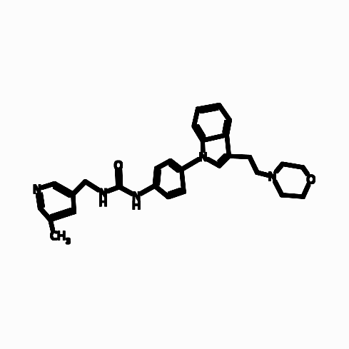 Cc1cncc(CNC(=O)Nc2ccc(-n3cc(CCN4CCOCC4)c4ccccc43)cc2)c1